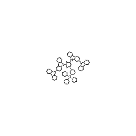 c1ccc([Si](c2ccccc2)(c2ccccc2)c2cccc(-c3cc(-n4c5ccccc5c5ccc(-n6c7ccccc7c7ccccc76)cc54)nc(-n4c5ccccc5c5cc(-n6c7ccccc7c7ccccc76)ccc54)n3)c2)cc1